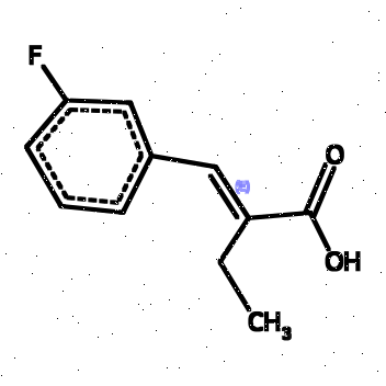 CC/C(=C\c1cccc(F)c1)C(=O)O